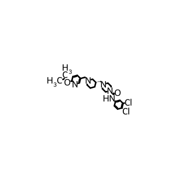 CC(C)Oc1ccc(CN2CCC[C@@H](CN3CCN(C(=O)Nc4ccc(Cl)c(Cl)c4)CC3)C2)cn1